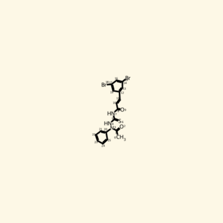 CC(=O)N(NC(=S)NC(=O)C=Cc1cc(Br)cc(Br)c1)c1ccccc1